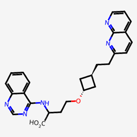 O=C(O)C(CCO[C@H]1C[C@H](CCc2ccc3cccnc3n2)C1)Nc1ncnc2ccccc12